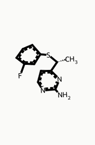 C[C@@H](Sc1cccc(F)c1)c1ccnc(N)n1